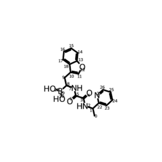 CC(NC(=O)C(=O)NC(Cc1coc2ccccc12)B(O)O)c1ccccn1